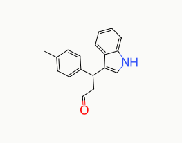 Cc1ccc(C(CC=O)c2c[nH]c3ccccc23)cc1